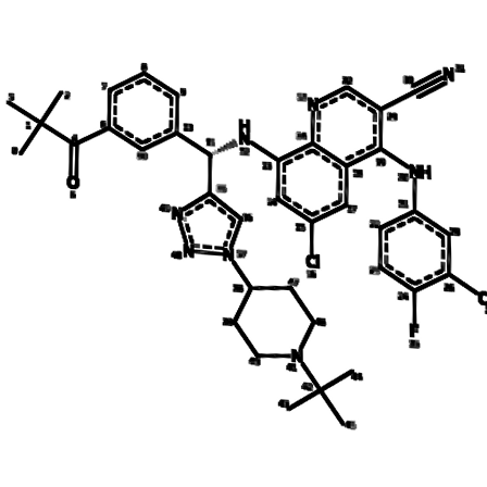 CC(C)(C)C(=O)c1cccc([C@H](Nc2cc(Cl)cc3c(Nc4ccc(F)c(Cl)c4)c(C#N)cnc23)c2cn(C3CCN(C(C)(C)C)CC3)nn2)c1